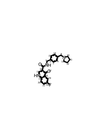 O=C(NCc1ccc(CN2CCCC2)cc1)c1c[nH]c2ccc(F)cc2c1=O